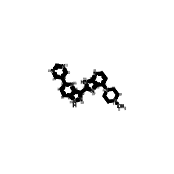 CN1CCN(c2ccnc3[nH]c(-c4n[nH]c5ccc(-c6cncnc6)nc45)nc23)CC1